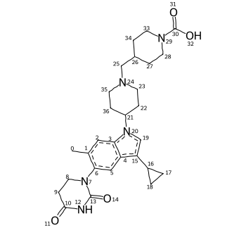 Cc1cc2c(cc1N1CCC(=O)NC1=O)c(C1CC1)cn2C1CCN(CC2CCN(C(=O)O)CC2)CC1